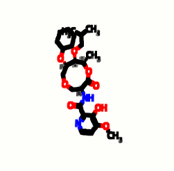 COc1ccnc(C(=O)N[C@H]2COC[C@H](OC3CCCCC3)[C@@H](OCC(C)C)[C@H](C)OC2=O)c1O